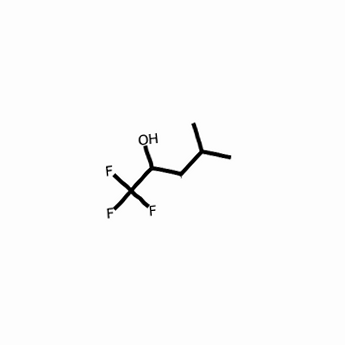 CC(C)[CH]C(O)C(F)(F)F